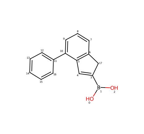 OB(O)C1=Cc2c(cccc2-c2ccccc2)C1